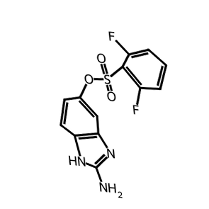 Nc1nc2cc(OS(=O)(=O)c3c(F)cccc3F)ccc2[nH]1